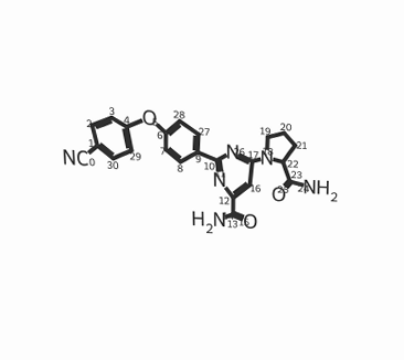 N#Cc1ccc(Oc2ccc(-c3nc(C(N)=O)cc(N4CCCC4C(N)=O)n3)cc2)cc1